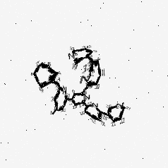 Cc1cc(-c2ccccc2)nc(-c2cc(-c3cccc(-c4cccnc4)n3)nc(-c3cccc(-c4cccnc4)n3)c2)c1